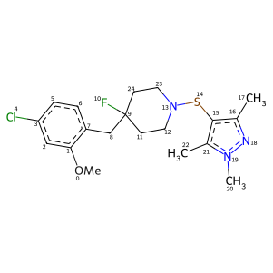 COc1cc(Cl)ccc1CC1(F)CCN(Sc2c(C)nn(C)c2C)CC1